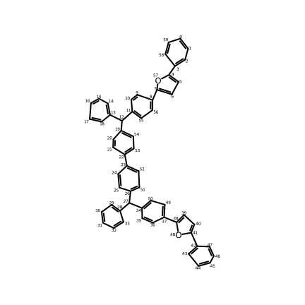 c1ccc(-c2ccc(-c3ccc(C(c4ccccc4)c4ccc(-c5ccc(C(c6ccccc6)c6ccc(-c7ccc(-c8ccccc8)o7)cc6)cc5)cc4)cc3)o2)cc1